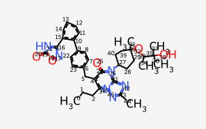 CCCc1c(Cc2ccc(-c3ccccc3-c3noc(=O)[nH]3)cc2)c(=O)n(C2CCC(C)(OC(C)C(C)(C)O)CC2)c2nc(C)nn12